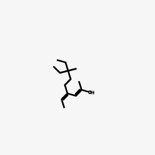 C/C=C(\C=C(/C)O)CCC(C)(CC)CC